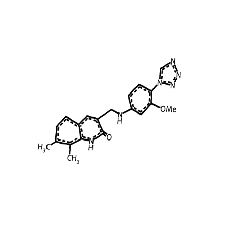 COc1cc(NCc2cc3ccc(C)c(C)c3[nH]c2=O)ccc1-n1cnnn1